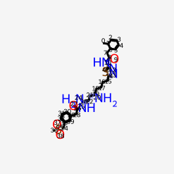 CC1C=CC=CC1CC(=O)Nc1nnc(CCCC/C(N)=C/C=C(\N)NC(=O)Cc2cccc(CS(C)(=O)=O)c2)s1